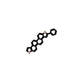 c1ccc(-c2cc3c(ccc4c3ccc3c5ccc6sccc6c5ccc43)s2)cc1